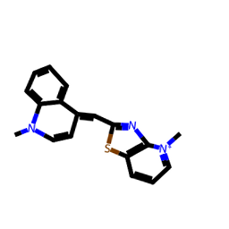 CN1C=C/C(=C\c2nc3c(ccc[n+]3C)s2)c2ccccc21